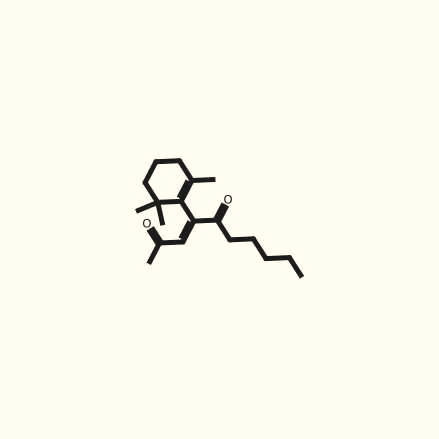 CCCCCC(=O)/C(=C/C(C)=O)C1=C(C)CCCC1(C)C